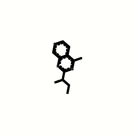 CCC(C)c1nc(C)c2ccncc2n1